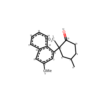 COc1cc(C2(C(=O)O)CC(C)CCC2=O)c2ccccc2c1